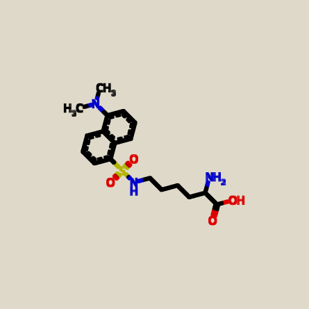 CN(C)c1cccc2c(S(=O)(=O)NCCCCC(N)C(=O)O)cccc12